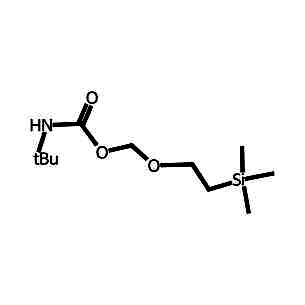 CC(C)(C)NC(=O)OCOCC[Si](C)(C)C